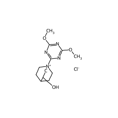 COc1nc(OC)nc([N+]23CCC(CC2)C(O)C3)n1.[Cl-]